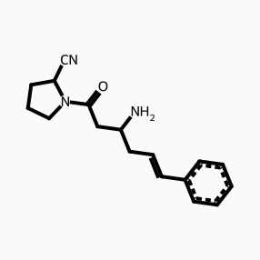 N#CC1CCCN1C(=O)CC(N)CC=Cc1ccccc1